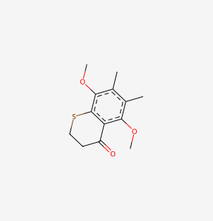 COc1c(C)c(C)c(OC)c2c1SCCC2=O